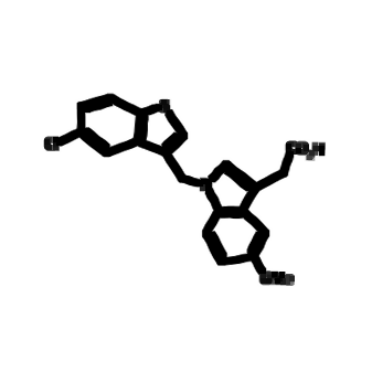 COc1ccc2c(c1)c(CC(=O)O)cn2Cc1csc2ccc(Cl)cc12